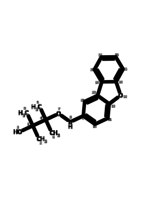 CC(C)(O)C(C)(C)OBc1ccc2oc3ccccc3c2c1